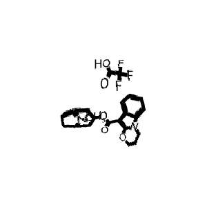 CN1C2CCC1CC(OC(=O)c1c3n(c4ccccc14)CCCO3)C2.O=C(O)C(F)(F)F